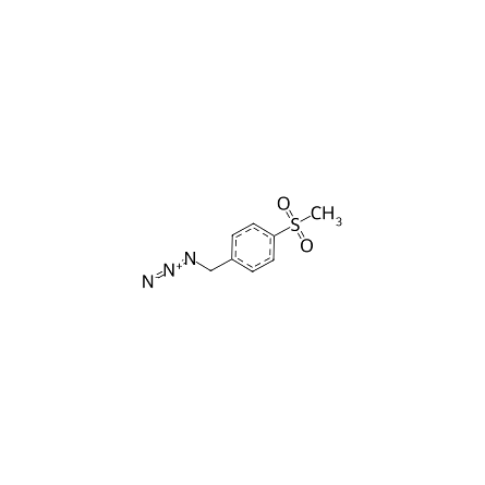 CS(=O)(=O)c1ccc(CN=[N+]=[N-])cc1